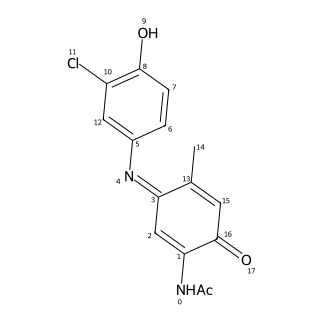 CC(=O)NC1=CC(=Nc2ccc(O)c(Cl)c2)C(C)=CC1=O